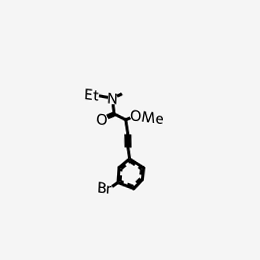 CCN(C)C(=O)C(C#Cc1cccc(Br)c1)OC